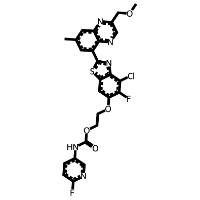 COCc1cnc2c(-c3nc4c(Cl)c(F)c(OCCOC(=O)Nc5ccc(F)nc5)cc4s3)cc(C)cc2n1